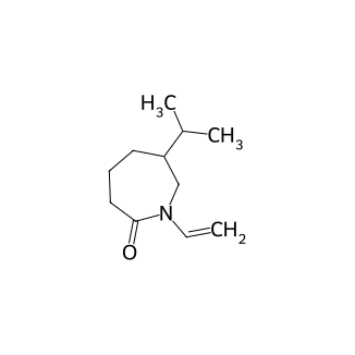 C=CN1CC(C(C)C)CCCC1=O